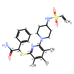 C=CS(=O)(=O)NC1CCN(c2nc(SC(C(N)=O)c3ccccc3)c(C#N)c(CC)c2C#N)CC1